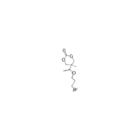 C=C(OCCCBr)C1(C)COC(=O)OC1